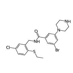 CCSc1ccc(Cl)cc1CNC(=O)c1cc(Br)cc(N2CCNCC2)c1